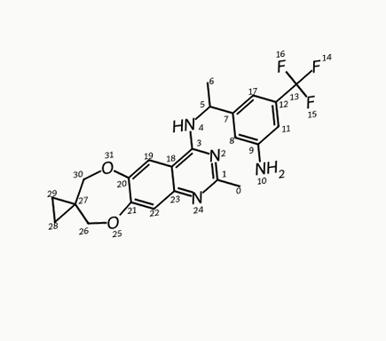 Cc1nc(NC(C)c2cc(N)cc(C(F)(F)F)c2)c2cc3c(cc2n1)OCC1(CC1)CO3